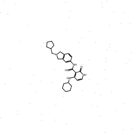 N=C(Nc1ccc2c(c1)CN(CC1CCCC1)C2)c1c(NC2CCCCC2)cc[nH]c1=O